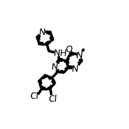 Cn1cnc2cc(-c3ccc(Cl)c(Cl)c3)nc(NCc3ccncc3)c2c1=O